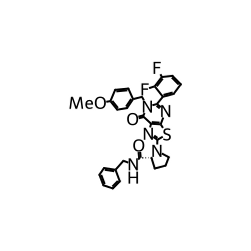 COc1ccc(Cn2c(-c3cccc(F)c3F)nc3sc(N4CCC[C@@H]4C(=O)NCc4ccccc4)nc3c2=O)cc1